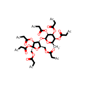 [CH2][C@H]1O[C@@H](O[C@@H]2[C@@H](COC(=O)CC(C)=O)O[C@@](COC(=O)CC(C)=O)(OC(=O)CC(C)=O)[C@H]2OC(=O)CC(C)=O)[C@H](OC(=O)CC(C)=O)[C@@H](OC(=O)CC(C)=O)[C@H]1OC(=O)CC(C)=O